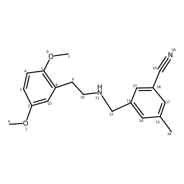 COc1ccc(OC)c(CCNCc2cc(C)cc(C#N)c2)c1